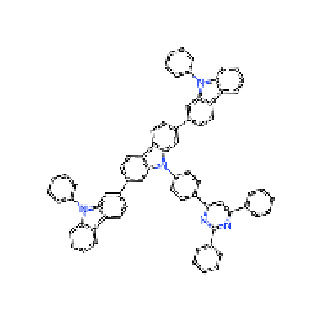 c1ccc(-c2cc(-c3ccc(-n4c5cc(-c6ccc7c8ccccc8n(-c8ccccc8)c7c6)ccc5c5ccc(-c6ccc7c8ccccc8n(-c8ccccc8)c7c6)cc54)cc3)nc(-c3ccccc3)n2)cc1